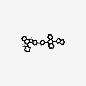 c1ccc2cc(-c3c4ccccc4c(-c4ccc(-c5ccc6c(c5)sc5c7ccccc7c7oc8ccccc8c7c65)cc4)c4ccccc34)ccc2c1